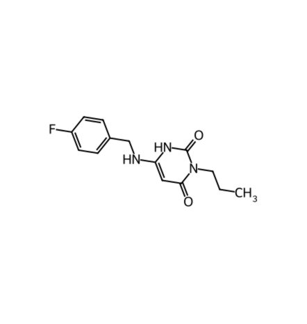 CCCn1c(=O)cc(NCc2ccc(F)cc2)[nH]c1=O